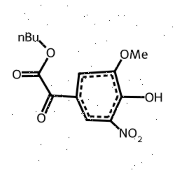 CCCCOC(=O)C(=O)c1cc(OC)c(O)c([N+](=O)[O-])c1